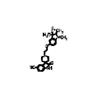 C=C1N(C)c2ccc(OCCN3CCC4(CC3)C(=O)Nc3ccc(C#N)cc34)cc2C1(C)C